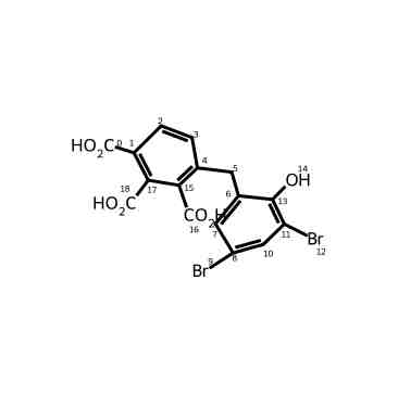 O=C(O)c1ccc(Cc2cc(Br)cc(Br)c2O)c(C(=O)O)c1C(=O)O